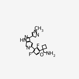 Cn1cc(-c2n[nH]c3cnc(-c4c(F)ccc(C5(C(N)=O)CCC5)c4F)cc23)cn1